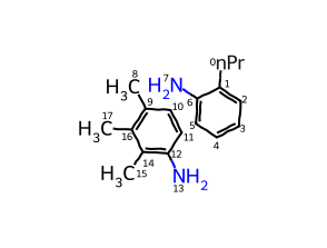 CCCc1ccccc1N.Cc1ccc(N)c(C)c1C